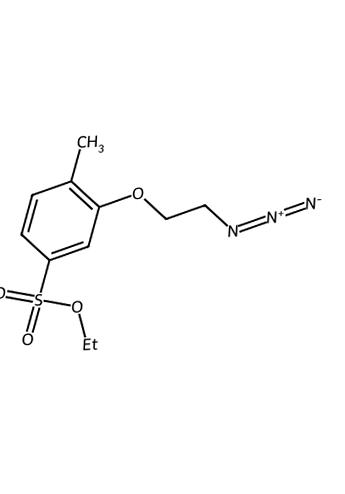 CCOS(=O)(=O)c1ccc(C)c(OCCN=[N+]=[N-])c1